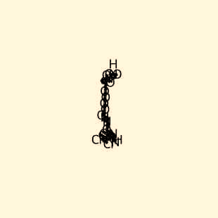 COc1cc(Nc2c(C#N)cnc3cc(OCCCN4CCN(C(=O)CCOCCOCCOCCOCCCc5cccc6c5C(=O)N(C5CCC(=O)NC5=O)C6=O)CC4)c(OC)cc23)c(Cl)cc1Cl